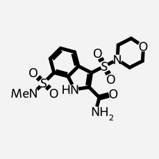 CNS(=O)(=O)c1cccc2c(S(=O)(=O)N3CCOCC3)c(C(N)=O)[nH]c12